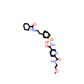 COCCNC(=O)c1ccc(C(=O)NS(=O)(=O)c2cccc(CCNC(=O)C3CCCCC3)c2)cn1